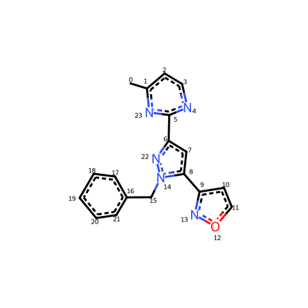 Cc1ccnc(-c2cc(-c3ccon3)n(Cc3ccccc3)n2)n1